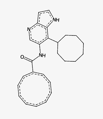 O=C(Nc1cnc2cc[nH]c2c1C1CCCCCCC1)c1ccccccccc1